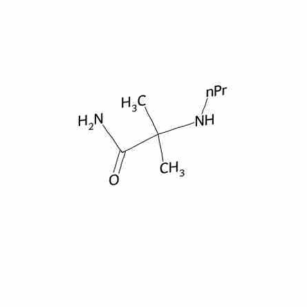 CCCNC(C)(C)C(N)=O